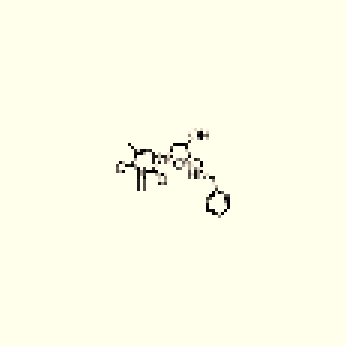 Cc1cn([C@H]2CC(O)[C@@H](CNCc3ccccc3)O2)c(=O)[nH]c1=O